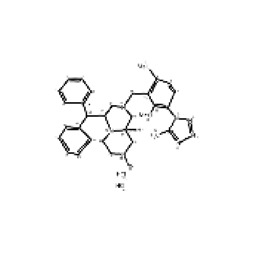 COc1ccc(-n2nnnc2C(F)(F)F)c(OC)c1CN1CC(C(c2ccccc2)c2ccccc2)N2CCN(C(C)=O)C[C@H]2C1.Cl.Cl